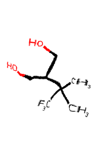 CC(C)(C(CO)CO)C(F)(F)F